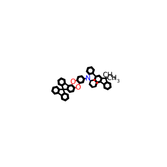 CC1(C)c2ccccc2-c2ccc(-c3ccccc3N(c3ccc4c(c3)Oc3ccc5c(c3O4)-c3ccccc3C53c4ccccc4-c4ccccc43)C3C=CC=CC3)cc21